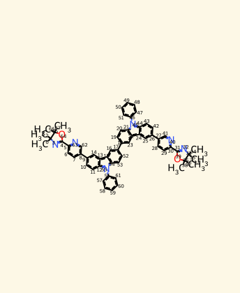 CC1(C)N=C(c2ccc(-c3ccc4c(c3)c3cc(-c5ccc6c(c5)c5cc(-c7ccc(C8=NC(C)(C)C(C)(C)O8)nc7)ccc5n6-c5ccccc5)ccc3n4-c3ccccc3)cn2)OC1(C)C